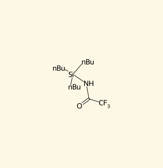 CCCC[Si](CCCC)(CCCC)NC(=O)C(F)(F)F